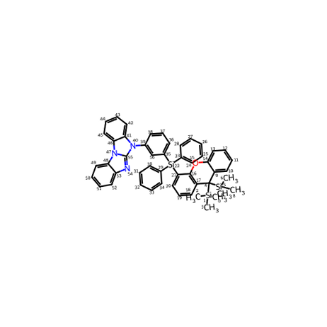 C[Si](C)(C)C1([Si](C)(C)C)c2ccccc2Oc2c1cccc2[Si](c1ccccc1)(c1ccccc1)c1cccc(-n2c3ccccc3n3c4ccccc4nc23)c1